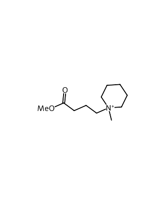 COC(=O)CCC[N+]1(C)CCCCC1